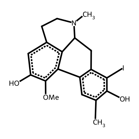 COc1c(O)cc2c3c1-c1cc(C)c(O)c(I)c1CC3N(C)CC2